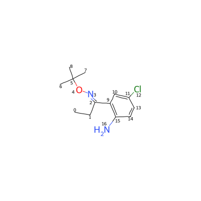 CC/C(=N\OC(C)(C)C)c1cc(Cl)ccc1N